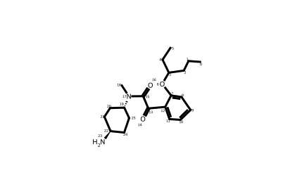 CCCC(CC)Oc1ccccc1C(=O)C(=O)N(C)[C@H]1CC[C@H](N)CC1